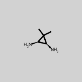 CC1(C)[C@H](N)[C@@H]1N